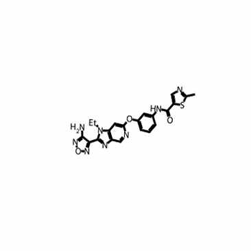 CCn1c(-c2nonc2N)nc2cnc(Oc3cccc(NC(=O)c4cnc(C)s4)c3)cc21